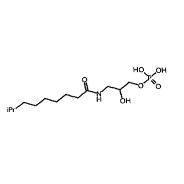 CC(C)CCCCCCC(=O)NCC(O)COP(=O)(O)O